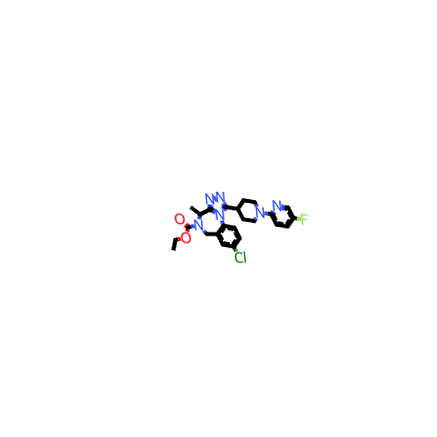 CCOC(=O)N1Cc2cc(Cl)ccc2-n2c(C3CCN(c4ccc(F)cn4)CC3)nnc2C1C